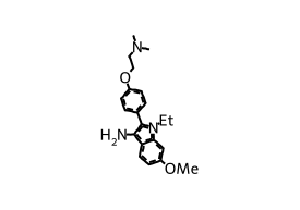 CCn1c(-c2ccc(OCCN(C)C)cc2)c(N)c2ccc(OC)cc21